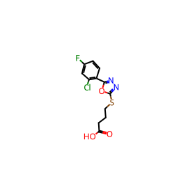 O=C(O)CCCSc1nnc(-c2ccc(F)cc2Cl)o1